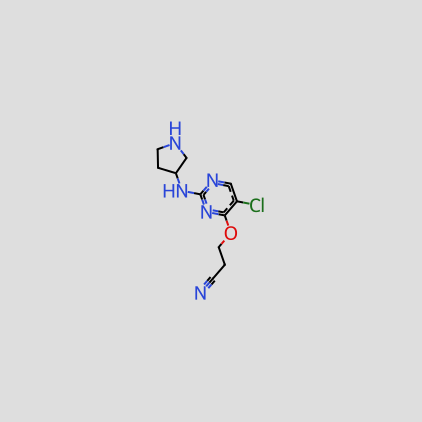 N#CCCOc1nc(NC2CCNC2)ncc1Cl